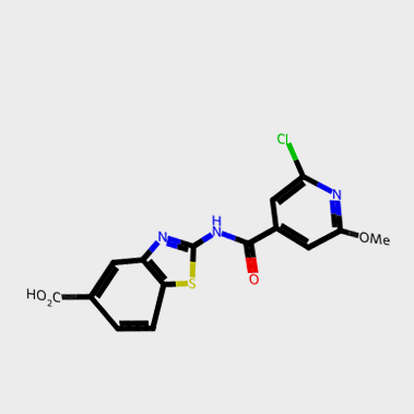 COc1cc(C(=O)Nc2nc3cc(C(=O)O)ccc3s2)cc(Cl)n1